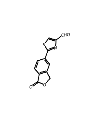 O=Cc1csc(-c2ccc3c(c2)COC3=O)n1